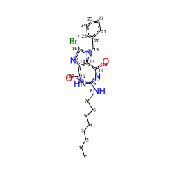 CCCCCCCCNc1nc(=O)c2c(nc(Br)n2Cc2ccccc2)c(=O)[nH]1